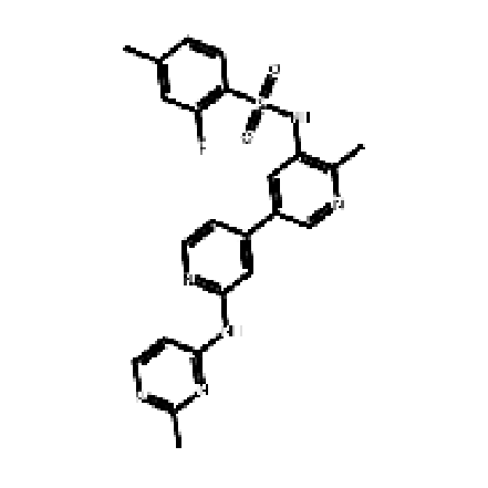 Cc1ccc(S(=O)(=O)Nc2cc(-c3ccnc(Nc4ccnc(C)n4)c3)cnc2C)c(F)c1